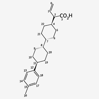 C=CC(C(=O)O)[C@H]1CC[C@H]([C@H]2CC[C@H](c3ccc(C)cc3)CC2)CC1